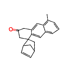 Cc1cccc2cc3c(cc12)CC(=O)CC31CC2C=CC1C2